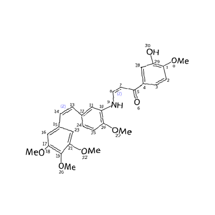 COc1ccc(C(=O)/C=C\Nc2cc(/C=C\c3cc(OC)c(OC)c(OC)c3)ccc2OC)cc1O